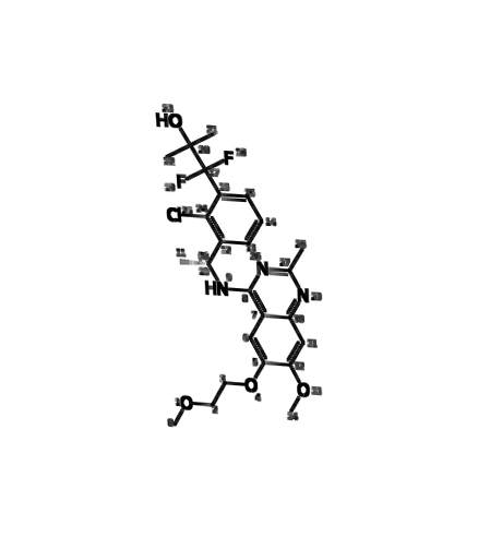 COCCOc1cc2c(N[C@H](C)c3cccc(C(F)(F)C(C)(C)O)c3Cl)nc(C)nc2cc1OC